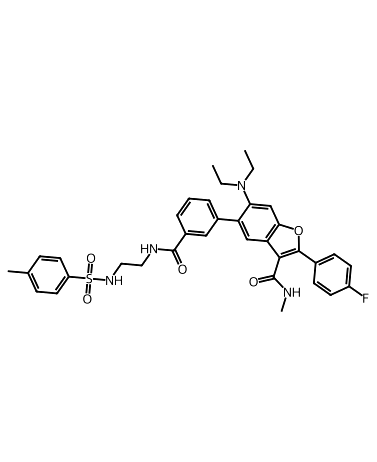 CCN(CC)c1cc2oc(-c3ccc(F)cc3)c(C(=O)NC)c2cc1-c1cccc(C(=O)NCCNS(=O)(=O)c2ccc(C)cc2)c1